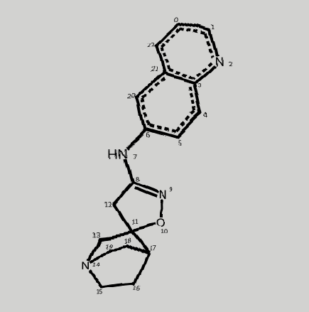 c1cnc2ccc(NC3=NOC4(C3)CN3CCC4CC3)cc2c1